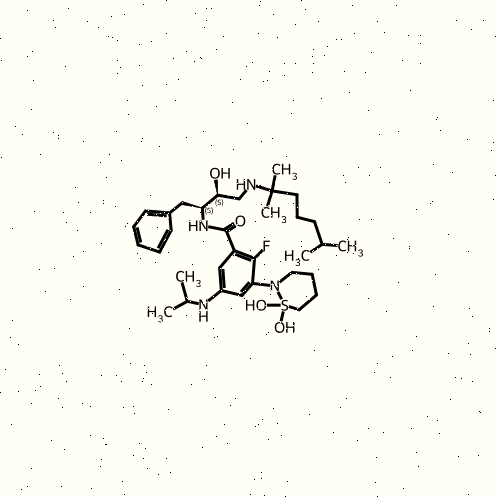 CC(C)CCCC(C)(C)NC[C@H](O)[C@H](Cc1ccccc1)NC(=O)c1cc(NC(C)C)cc(N2CCCCS2(O)O)c1F